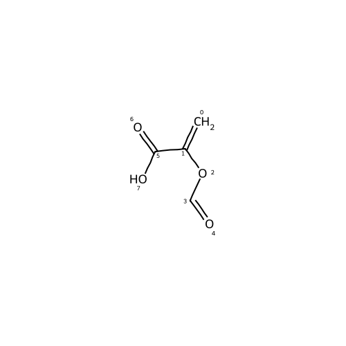 C=C(OC=O)C(=O)O